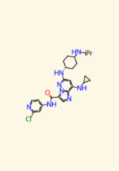 CC(C)N[C@H]1CC[C@H](Nc2cc(NC3CC3)c3ncc(C(=O)Nc4ccnc(Cl)c4)n3n2)CC1